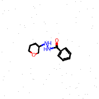 O=C(NNC1CCCOC1)c1ccccc1